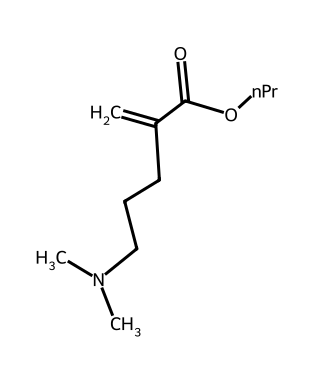 C=C(CCCN(C)C)C(=O)OCCC